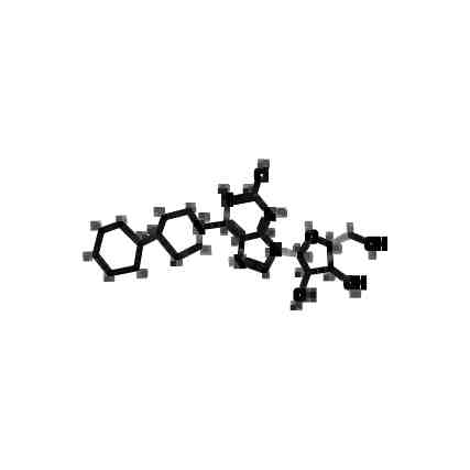 OC[C@H]1O[C@@H](n2cnc3c(N4CCC(C5CCCCC5)CC4)nc(Cl)nc32)C(O)C1O